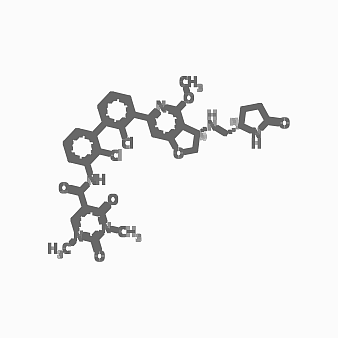 COc1nc(-c2cccc(-c3cccc(NC(=O)c4cn(C)c(=O)n(C)c4=O)c3Cl)c2Cl)cc2c1[C@H](NC[C@@H]1CCC(=O)N1)CO2